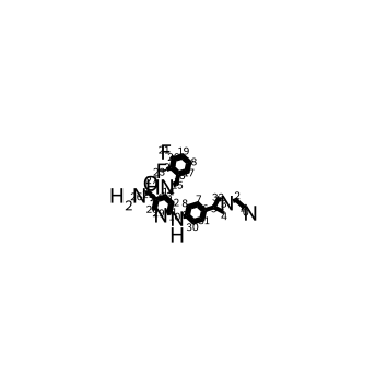 N#CCN1CC(c2ccc(Nc3cc(NCc4cccc(F)c4F)c(C(N)=O)cn3)cc2)C1